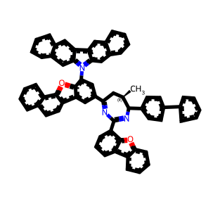 C[C@@H]1CC(c2cc(-n3c4cc5ccccc5cc4c4cc5ccccc5cc43)c3oc4c5ccccc5ccc4c3c2)=NC(c2cccc3c2oc2ccccc23)=NC1c1ccc(-c2ccccc2)cc1